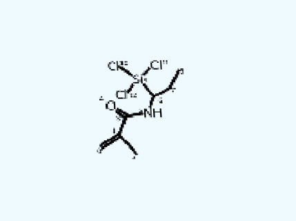 C=C(C)C(=O)NC(CC)[Si](Cl)(Cl)Cl